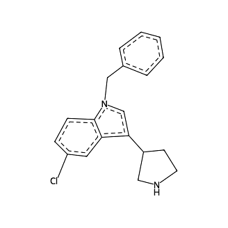 Clc1ccc2c(c1)c(C1CCNC1)cn2Cc1ccccc1